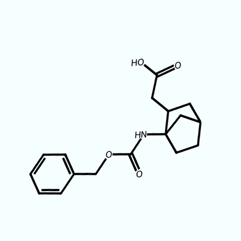 O=C(O)CC1CC2CCC1(NC(=O)OCc1ccccc1)C2